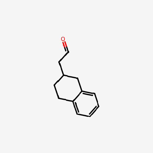 O=CCC1CCc2ccccc2C1